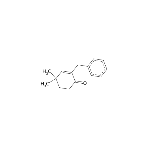 CC1(C)C=C(Cc2ccccc2)C(=O)CC1